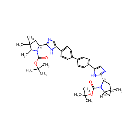 CC1N(C(=O)OC(C)(C)C)[C@H](c2ncc(-c3ccc(-c4ccc(-c5cnc([C@@H]6C[C@]7(C)C[C@@H]7N6C(=O)OC(C)(C)C)[nH]5)cc4)cc3)[nH]2)CC1(C)C